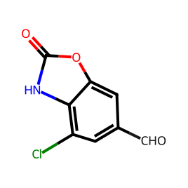 O=Cc1cc(Cl)c2[nH]c(=O)oc2c1